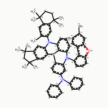 Cc1cc2c(cc1N1c3cc4c(cc3B3c5ccc(N(c6ccccc6)c6ccccc6)cc5N(c5cccc6oc7cc(C(C)(C)C)ccc7c56)c5cc(C(C)(C)C)cc1c53)C(C)(C)CC4(C)C)C(C)(C)CCC2(C)C